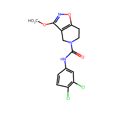 O=C(O)Oc1noc2c1CN(C(=O)Nc1ccc(Cl)c(Cl)c1)CC2